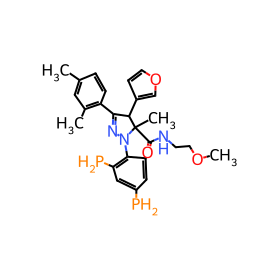 COCCNC(=O)C1(C)C(c2ccoc2)C(c2ccc(C)cc2C)=NN1c1ccc(P)cc1P